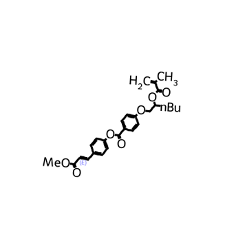 C=C(C)C(=O)OC(CCCC)COc1ccc(C(=O)Oc2ccc(/C=C/C(=O)OC)cc2)cc1